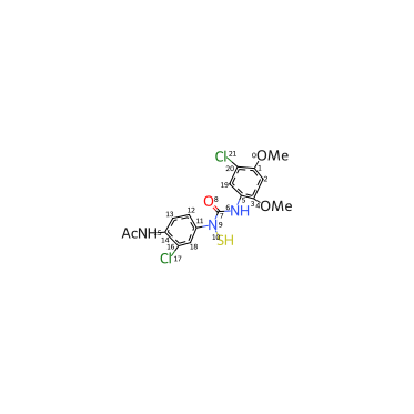 COc1cc(OC)c(NC(=O)N(S)c2ccc(NC(C)=O)c(Cl)c2)cc1Cl